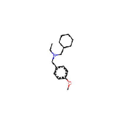 CCN(Cc1ccc(OC)cc1)CC1CCCCC1